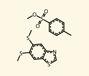 COS(=O)(=O)c1ccc(C)cc1.CSc1cc2ncsc2cc1SC